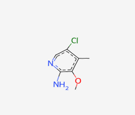 COc1c(N)ncc(Cl)c1C